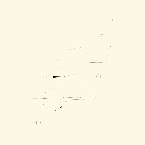 C[C@]12CCC(=O)[C@]13CC[C@]1(C)c4ccc(O)cc4C=C[C@@]1(O)C3CC2